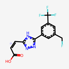 O=C(O)/C=C\c1nnc(-c2cc(CF)cc(C(F)(F)F)c2)[nH]1